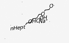 CCCCCCCCCCCCOCC[O].O=[C-]O.[Na+]